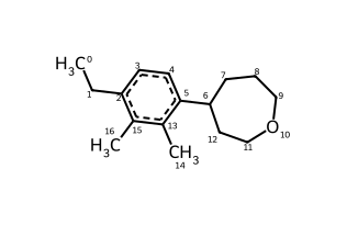 CCc1ccc(C2CCCOCC2)c(C)c1C